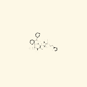 NNC(=O)C1=C(C(=O)OC(c2ccccc2)c2ccccc2)N2C(=O)C(NC(=O)Cc3ccco3)[C@@H]2SC1